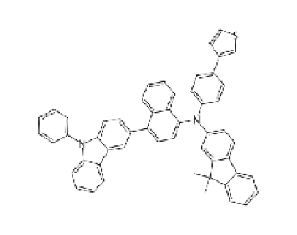 CC1(C)c2ccccc2-c2ccc(N(c3ccc(-c4ccsc4)cc3)c3ccc(-c4ccc5c(c4)c4ccccc4n5-c4ccccc4)c4ccccc34)cc21